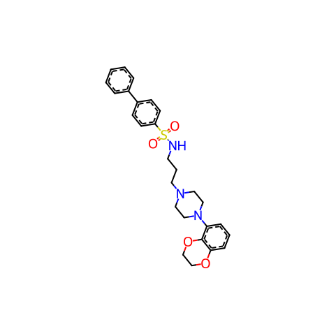 O=S(=O)(NCCCN1CCN(c2cccc3c2OCCO3)CC1)c1ccc(-c2ccccc2)cc1